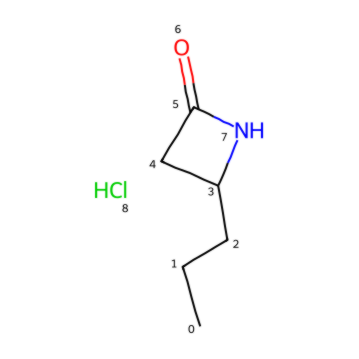 CCCC1CC(=O)N1.Cl